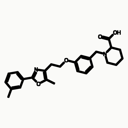 Cc1cccc(-c2nc(CCOc3cccc(CN4CCCCC4C(=O)O)c3)c(C)o2)c1